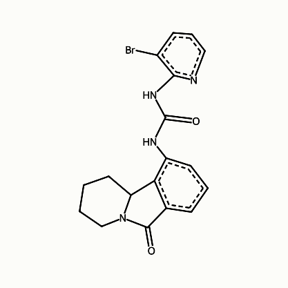 O=C(Nc1cccc2c1C1CCCCN1C2=O)Nc1ncccc1Br